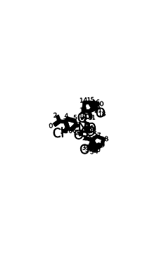 C=C(C)c1ccc(N(S(=O)(=O)CC23CCC(CC2=O)C3(C)C)S(=O)(=O)CC23CCC(CC2=O)C3(C)C)cc1Cl